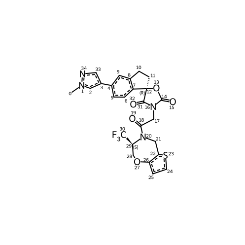 Cn1cc(-c2ccc3c(c2)CC[C@@]32OC(=O)N(CC(=O)N3Cc4sccc4OC[C@H]3C(F)(F)F)C2=O)cn1